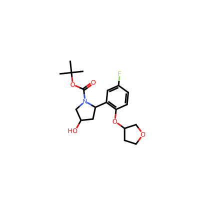 CC(C)(C)OC(=O)N1CC(O)CC1c1cc(F)ccc1OC1CCOC1